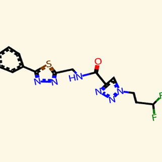 O=C(NCc1nnc(-c2ccccc2)s1)c1cn(CCC(F)F)nn1